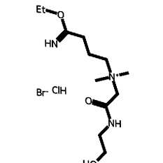 CCOC(=N)CCC[N+](C)(C)CC(=O)NCCO.Cl.[Br-]